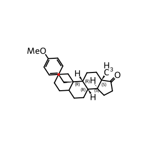 COc1ccc(C[C@]23CCCCC2CC[C@@H]2[C@H]3CC[C@]3(C)C(=O)CC[C@@H]23)cc1